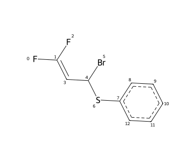 FC(F)=CC(Br)Sc1ccccc1